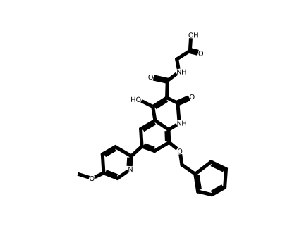 COc1ccc(-c2cc(OCc3ccccc3)c3[nH]c(=O)c(C(=O)NCC(=O)O)c(O)c3c2)nc1